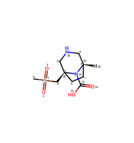 CS(=O)(=O)C[C@@]12CC[C@@H](CNC1)N2C(=O)O